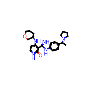 CC(c1ccc(NC(=N)c2c(N[C@@H]3CCCOC3)cc[nH]c2=O)cc1)N1CCCC1